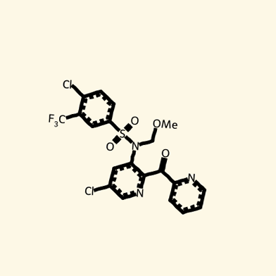 COCN(c1cc(Cl)cnc1C(=O)c1ccccn1)S(=O)(=O)c1ccc(Cl)c(C(F)(F)F)c1